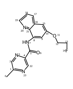 Cc1cnc(C(=O)Nc2cc(OCCF)cc3cccnc23)cn1